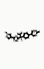 C=C(N)/N=C\C(=C/N)c1ccc([C@](C)(c2noc(-c3cnn(C)c3)n2)C(C)C)cc1